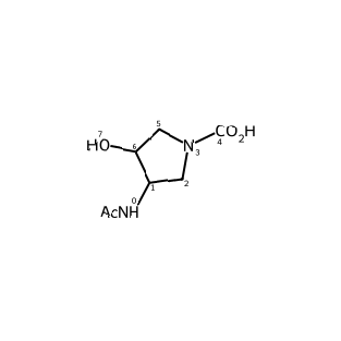 CC(=O)NC1CN(C(=O)O)CC1O